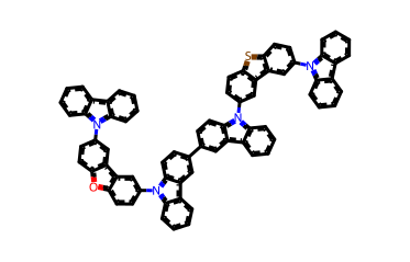 c1ccc2c(c1)c1ccccc1n2-c1ccc2oc3ccc(-n4c5ccccc5c5cc(-c6ccc7c(c6)c6ccccc6n7-c6ccc7sc8ccc(-n9c%10ccccc%10c%10ccccc%109)cc8c7c6)ccc54)cc3c2c1